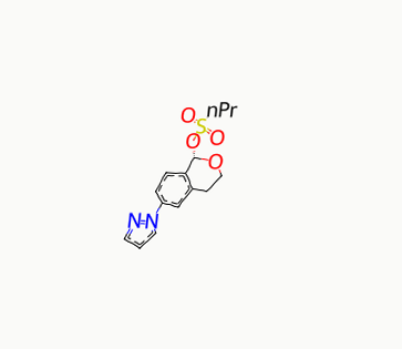 CCCS(=O)(=O)O[C@@H]1OCCc2cc(-n3cccn3)ccc21